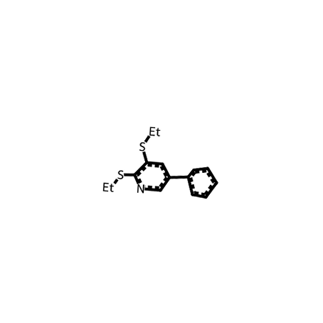 CCSc1cc(-c2ccccc2)cnc1SCC